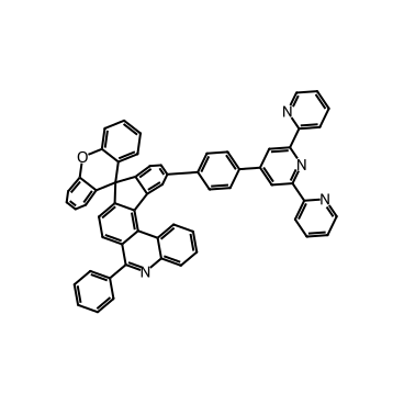 c1ccc(-c2nc3ccccc3c3c4c(ccc23)C2(c3ccccc3Oc3ccccc32)c2ccc(-c3ccc(-c5cc(-c6ccccn6)nc(-c6ccccn6)c5)cc3)cc2-4)cc1